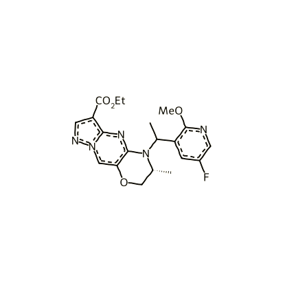 CCOC(=O)c1cnn2cc3c(nc12)N(C(C)c1cc(F)cnc1OC)[C@H](C)CO3